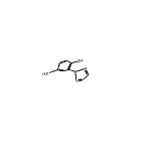 Cc1ccc(O)c(-n2nccn2)c1